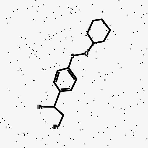 CC(C)CC(c1ccc(SOC2CCCCC2)cc1)C(C)C